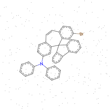 Brc1ccc2c(c1)C1(c3cc(N(c4ccccc4)c4ccccc4)ccc3C=C2)c2ccccc2-c2ccccc21